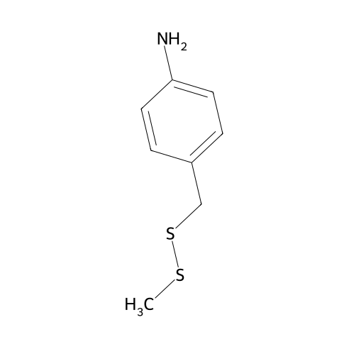 CSSCc1ccc(N)cc1